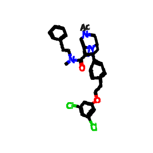 CC(=O)N1CC2CC(c3ccc(CCOc4cc(Cl)cc(Cl)c4)cc3)=C(C(=O)N(C)CCc3ccccc3)C(C1)N2